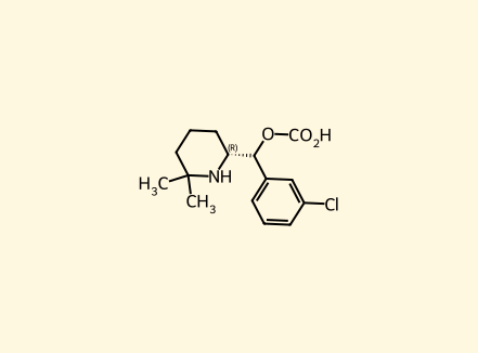 CC1(C)CCC[C@H](C(OC(=O)O)c2cccc(Cl)c2)N1